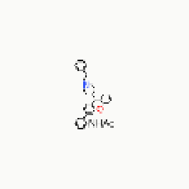 CC(=O)Nc1ccccc1-c1ccc2c(c1)Oc1ccccc1C2C1CCN(CCc2ccccc2)CC1